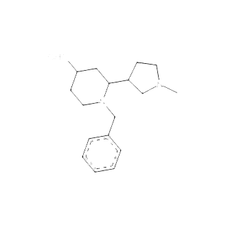 CN1CCC(C2CC(C=O)CCN2Cc2ccccc2)C1